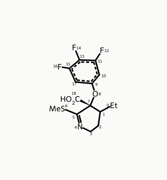 CCC1CCN=C(SC)[C@@]1(Oc1cc(F)c(F)c(F)c1)C(=O)O